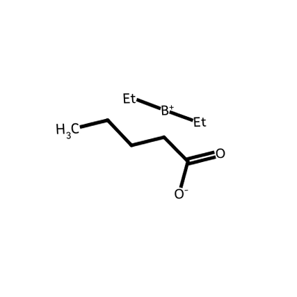 CCCCC(=O)[O-].CC[B+]CC